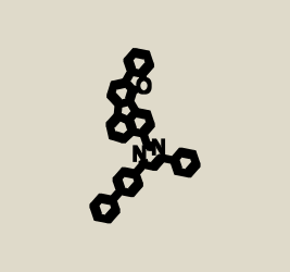 c1ccc(-c2ccc(-c3cc(-c4ccccc4)nc(-c4ccc5c6c(cccc46)-c4ccc6c(oc7ccccc76)c4-5)n3)cc2)cc1